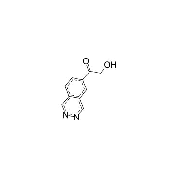 O=C(CO)c1ccc2cnncc2c1